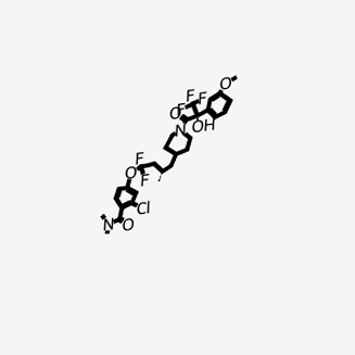 COc1cccc([C@@](O)(C(=O)N2CCC(C[C@H](C)CC(F)(F)Oc3ccc(C(=O)N(C)C)c(Cl)c3)CC2)C(F)(F)F)c1